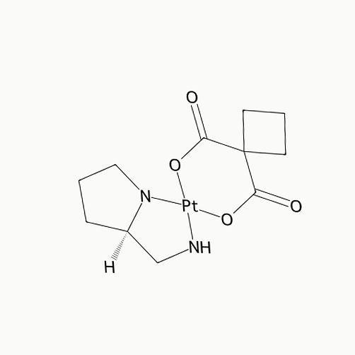 O=C1[O][Pt]2([NH]C[C@H]3CCC[N]32)[O]C(=O)C12CCC2